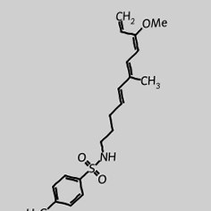 C=C\C(=C/C=C(C)/C=C/CCCNS(=O)(=O)c1ccc(C)cc1)OC